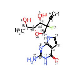 C#CC1(F)[C@@H](O)[C@@H]([C@H](C)O)O[C@H]1n1ccc2c(=O)[nH]c(N)nc21